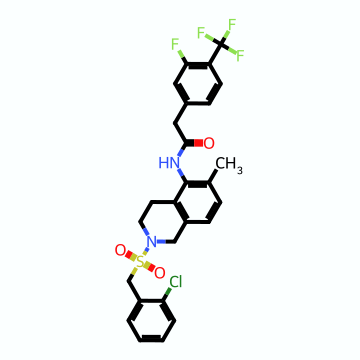 Cc1ccc2c(c1NC(=O)Cc1ccc(C(F)(F)F)c(F)c1)CCN(S(=O)(=O)Cc1ccccc1Cl)C2